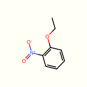 CCOc1ccc[c]c1[N+](=O)[O-]